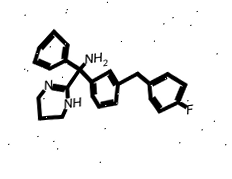 NC(C1=NCCCN1)(c1ccccc1)c1cccc(Cc2ccc(F)cc2)c1